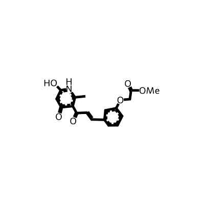 COC(=O)COc1cccc(C=CC(=O)c2c(C)[nH]c(O)cc2=O)c1